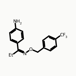 CCC(=NOCc1ccc(C(F)(F)F)cc1)c1ccc(N)cc1